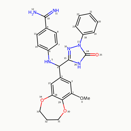 COc1cc(C(Nc2ccc(C(=N)N)cc2)c2nn(-c3ccccc3)c(=O)[nH]2)cc2c1OCCCO2